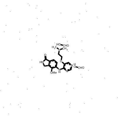 COc1c(Nc2ncncc2OCCN(C)C)ccc2c1CNC2=O.O=CO.O=CO